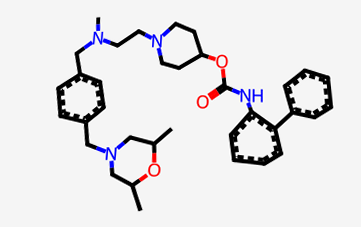 CC1CN(Cc2ccc(CN(C)CCN3CCC(OC(=O)Nc4ccccc4-c4ccccc4)CC3)cc2)CC(C)O1